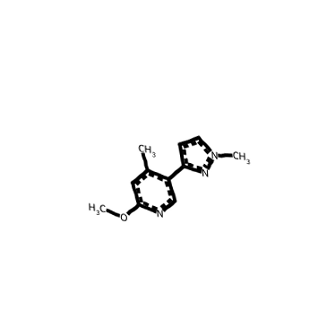 COc1cc(C)c(-c2ccn(C)n2)cn1